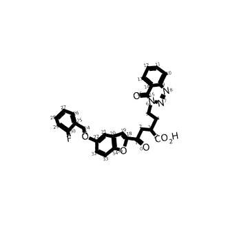 O=C(CC(CCn1nnc2ccccc2c1=O)C(=O)O)c1cc2cc(OCc3ccccc3F)ccc2o1